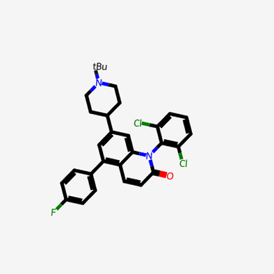 CC(C)(C)N1CCC(c2cc(-c3ccc(F)cc3)c3ccc(=O)n(-c4c(Cl)cccc4Cl)c3c2)CC1